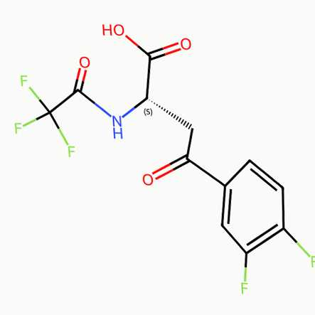 O=C(C[C@H](NC(=O)C(F)(F)F)C(=O)O)c1ccc(F)c(F)c1